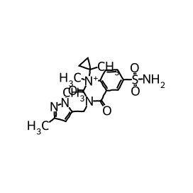 Cc1cc(CN2C(=O)c3cc(S(N)(=O)=O)ccc3[N+](C)(C3(C)CC3)C2=O)n(C)n1